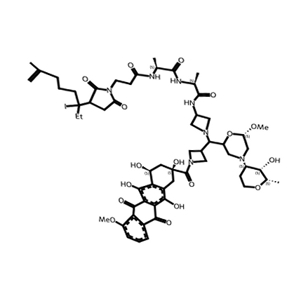 C=C(C)CCCC(I)(CC)C1CC(=O)N(CCC(=O)N[C@@H](C)C(=O)N[C@@H](C)C(=O)NC2CN(C(C3CN(C(=O)[C@]4(O)Cc5c(O)c6c(c(O)c5[C@@H](O)C4)C(=O)c4c(OC)cccc4C6=O)C3)C3CN([C@H]4CCO[C@@H](C)[C@H]4O)C[C@@H](OC)O3)C2)C1=O